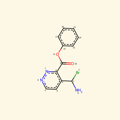 NC(Br)c1ccnnc1C(=O)Oc1ccccc1